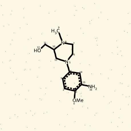 COc1ccc(N2CCN(C)C(CO)C2)cc1N